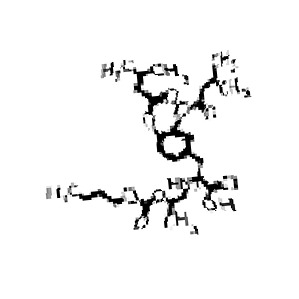 CCCCOC(=O)OC(C)CN[C@@H](Cc1ccc(OC(=O)CC(C)C)c(OC(=O)CC(C)C)c1)C(=O)O